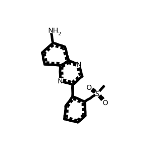 CS(=O)(=O)c1ccccc1-c1cnc2cc(N)ccc2n1